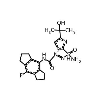 CC(C)(O)c1csc([SH](N)(=O)/N=N/C(=O)Nc2c3c(c(F)c4c2CCC4)CCC3)n1